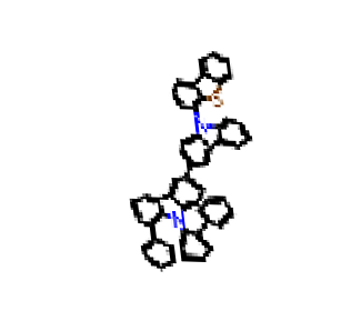 c1ccc(-c2ccccc2-n2c3ccc(-c4ccc5c(c4)c4ccccc4n5-c4cccc5c4sc4ccccc45)cc3c3cccc(-c4ccccc4)c32)cc1